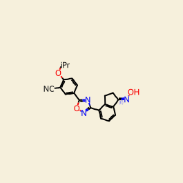 CC(C)Oc1ccc(-c2nc(-c3cccc4c3CC/C4=N\O)no2)cc1C#N